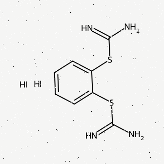 I.I.N=C(N)Sc1ccccc1SC(=N)N